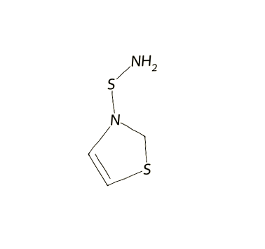 NSN1C=CSC1